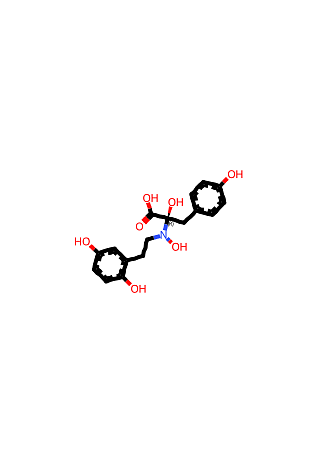 O=C(O)[C@](O)(Cc1ccc(O)cc1)N(O)CCc1cc(O)ccc1O